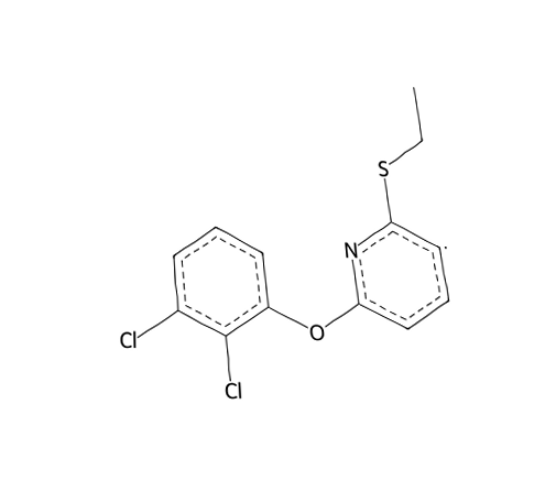 CCSc1[c]ccc(Oc2cccc(Cl)c2Cl)n1